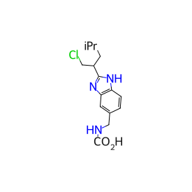 CC(C)CC(CCl)c1nc2cc(CNC(=O)O)ccc2[nH]1